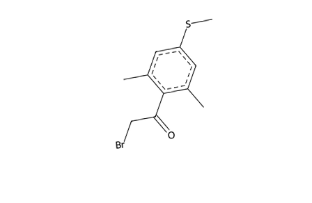 CSc1cc(C)c(C(=O)CBr)c(C)c1